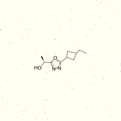 CCC1CC(c2nnc([C@H](C)O)o2)C1